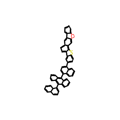 C1=CC2C=CC=C(c3c4ccccc4c(-c4ccc(-c5ccc6sc7c8cc9oc%10ccccc%10c9cc8ccc7c6c5)c5ccccc45)c4ccccc34)C2C=C1